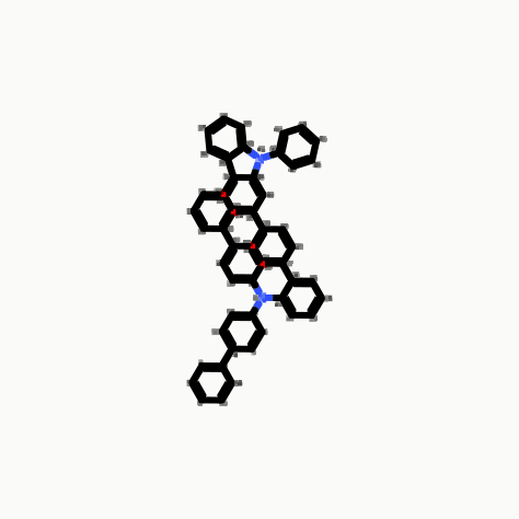 c1ccc(-c2ccc(N(c3ccc(-c4ccccc4)cc3)c3ccccc3-c3ccc(-c4ccc5c6ccccc6n(-c6ccccc6)c5c4)cc3)cc2)cc1